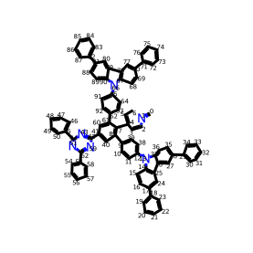 C=N/C=C\C(=C/C)c1c(-c2ccc(-n3c4ccc(-c5ccccc5)cc4c4cc(-c5ccccc5)ccc43)cc2)cc(-c2nc(-c3ccccc3)nc(-c3ccccc3)n2)cc1-c1ccc(-n2c3ccc(-c4ccccc4)cc3c3cc(-c4ccccc4)ccc32)cc1